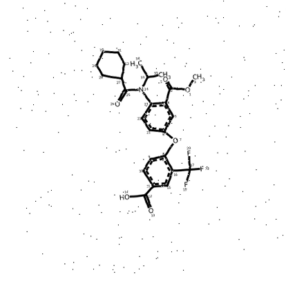 COC(=O)c1cc(Oc2ccc(C(=O)O)cc2C(F)(F)F)ccc1N(C(=O)C1CCCCC1)C(C)C